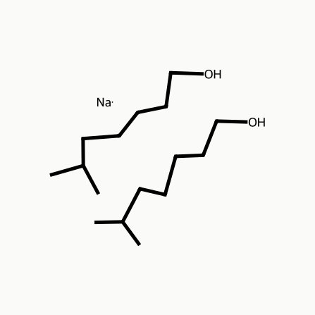 CC(C)CCCCCO.CC(C)CCCCCO.[Na]